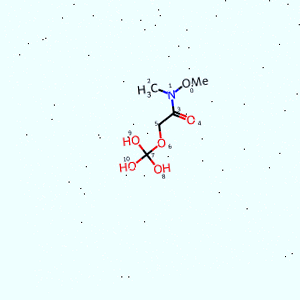 CON(C)C(=O)COC(O)(O)O